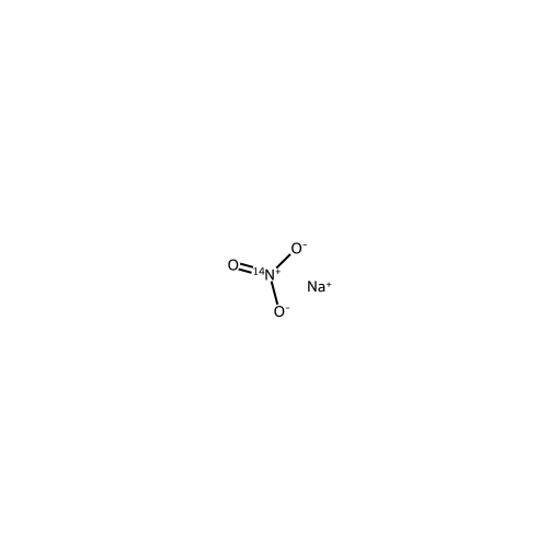 O=[14N+]([O-])[O-].[Na+]